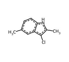 Cc1ccc2[nH]c(C)c(Cl)c2c1